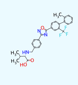 Cc1ccccc1-c1ccc(-c2nc(-c3ccc(CN[C@H](C(=O)O)C(C)C)cc3)no2)cc1C(F)(F)F